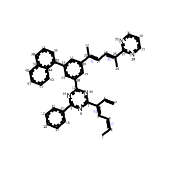 C=C/C(=C\C=C/C)c1nc(-c2ccccc2)nc(-c2cc(/C(C)=C/C=C(\C)c3ncccn3)cc(-c3cccc4ccccc34)c2)n1